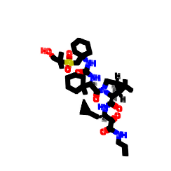 C=CCNC(=O)C(=O)[C@H](CC1CC1)NC(=O)[C@@H]1[C@@H]2[C@H](CN1C(=O)[C@@H](NC(=O)NC1(CS(=O)(=O)C(C)(C)CO)CCCCC1)C1(C)CCCCC1)C2(C)C